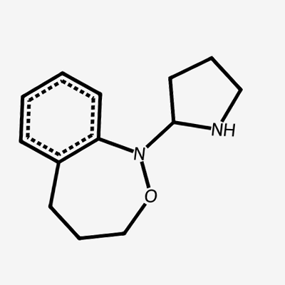 c1ccc2c(c1)CCCON2C1CCCN1